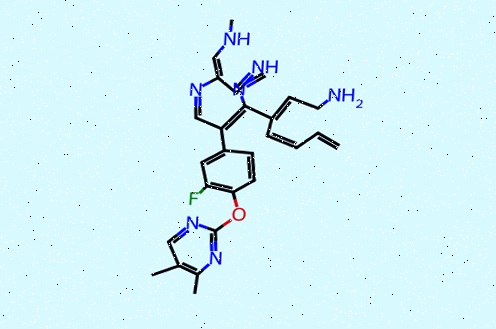 C=C\C=C/C(=C\CN)C(/N=C)=C(/C=N\C(C=N)=C\NC)c1ccc(Oc2ncc(C)c(C)n2)c(F)c1